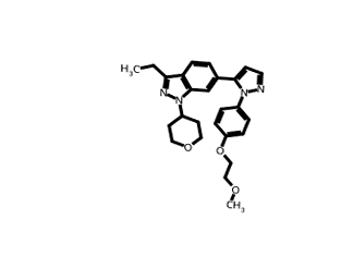 CCc1nn(C2CCOCC2)c2cc(-c3ccnn3-c3ccc(OCCOC)cc3)ccc12